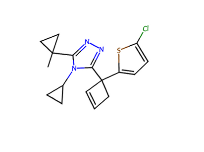 CC1(c2nnc(C3(c4ccc(Cl)s4)C=CC3)n2C2CC2)CC1